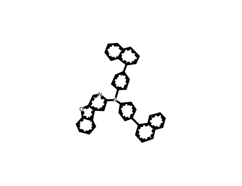 c1ccc2c(-c3ccc(N(c4ccc(-c5cccc6ccccc56)cc4)c4cc5c(cn4)oc4ccccc45)cc3)cccc2c1